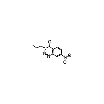 CCCn1nnc2cc([N+](=O)[O-])ccc2c1=O